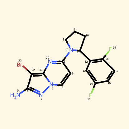 Nc1nn2ccc(N3CCCC3c3cc(F)ccc3F)nc2c1Br